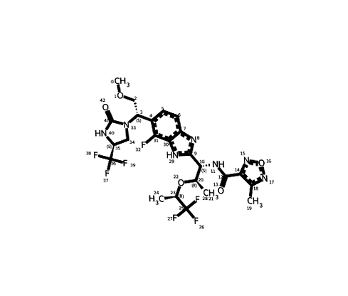 COC[C@H](c1ccc2nc([C@H](NC(=O)c3nonc3C)[C@@H](C)O[C@H](C)C(F)(F)F)[nH]c2c1F)N1C[C@@H](C(F)(F)F)NC1=O